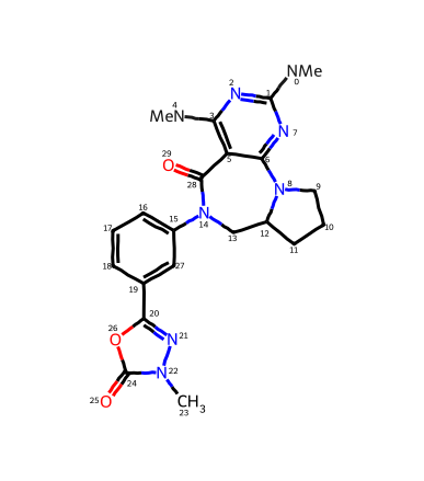 CNc1nc(NC)c2c(n1)N1CCCC1CN(c1cccc(-c3nn(C)c(=O)o3)c1)C2=O